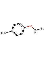 CCBOc1ccc([N+](=O)[O-])cc1